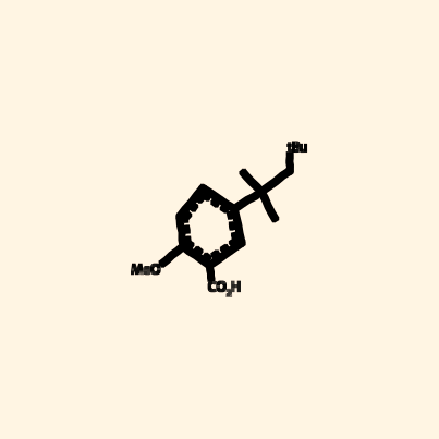 COc1ccc(C(C)(C)CC(C)(C)C)cc1C(=O)O